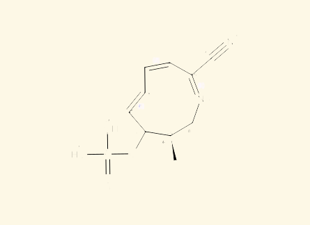 C[C@H]1\N=C(C#N)/C=C\C=C\C(OP(=O)(O)O)[C@@H]1C